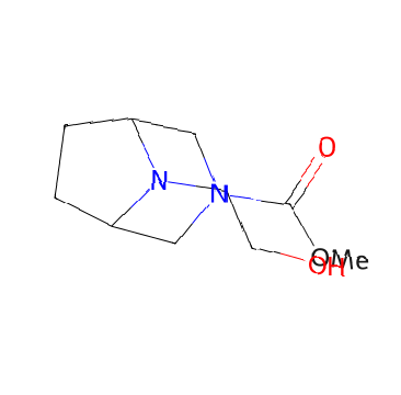 COC(=O)N1CC2CCC(C1)N2CCO